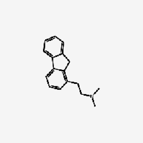 CN(C)CCc1cccc2c1Cc1ccccc1-2